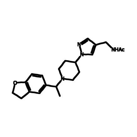 CC(=O)NCc1cnn(C2CCN(C(C)c3ccc4c(c3)CCO4)CC2)c1